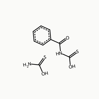 NC(O)=S.O=C(NC(O)=S)c1ccccc1